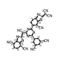 N#CC(C#N)=C1N=c2ccc(-c3nc(C(C#N)=C4N=c5c(C#N)ccc(C#N)c5=N4)nc(-c4cc(C#N)cc(C#N)c4)n3)c(C#N)c2=N1